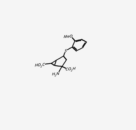 COc1ccccc1SC1CC(N)(C(=O)O)C2C(C(=O)O)C12